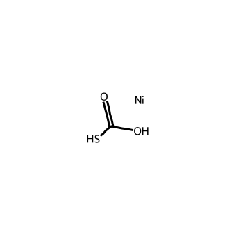 O=C(O)S.[Ni]